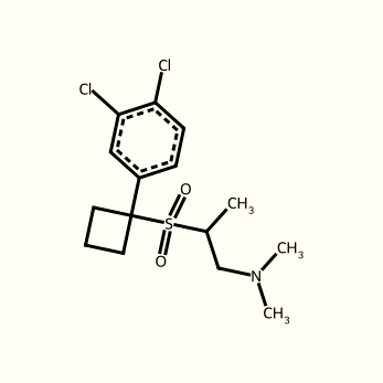 CC(CN(C)C)S(=O)(=O)C1(c2ccc(Cl)c(Cl)c2)CCC1